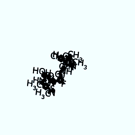 Cc1ncsc1-c1ccc([C@H](C)NC(=O)[C@@H]2C[C@@H](O)CN2C(=O)Cn2cc(-c3cc(F)cc(O[C@@H](C)CNC(=O)C[C@@H]4N=C(c5ccc(Cl)cc5)c5c(sc(C)c5C)-n5c(C)nnc54)c3)cn2)cc1